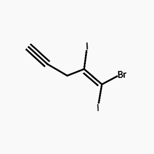 C#CCC(I)=C(Br)I